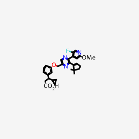 COc1cc(-c2ncc(COc3cccc(C(CC(=O)O)C4CC4)c3)nc2C2=CCCC2(C)C)c(F)cn1